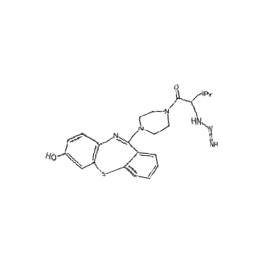 CC(C)C(NN=N)C(=O)N1CCN(C2=Nc3ccc(O)cc3Sc3ccccc32)CC1